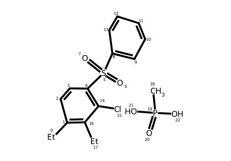 CCc1ccc(S(=O)(=O)c2ccccc2)c(Cl)c1CC.CP(=O)(O)O